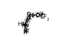 O=C(N1CC(c2ccc(C3(C(F)(F)F)CC3)cc2)C1)N1CC2(CC(c3nc(C4CC(F)(F)C4)n[nH]3)C2)C1